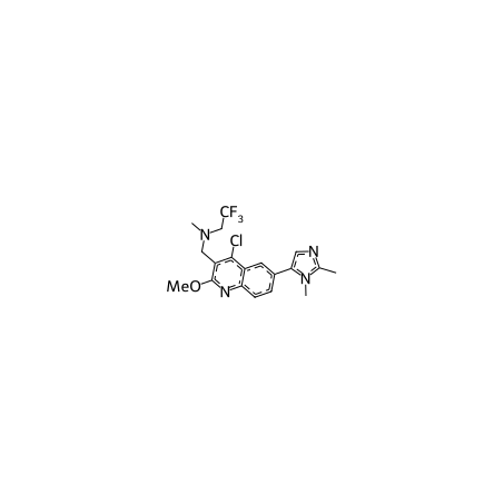 COc1nc2ccc(-c3cnc(C)n3C)cc2c(Cl)c1CN(C)CC(F)(F)F